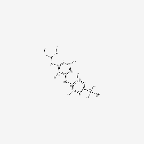 CCC(CC)Oc1cc(C)nc(Oc2c(C)cc(C(C)(C)O)cc2C)c1C